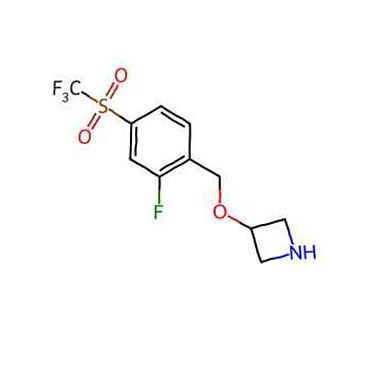 O=S(=O)(c1ccc(COC2CNC2)c(F)c1)C(F)(F)F